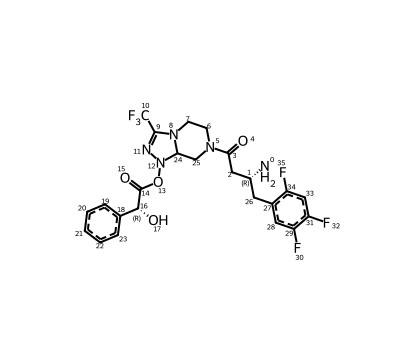 N[C@@H](CC(=O)N1CCN2C(C(F)(F)F)=NN(OC(=O)[C@H](O)c3ccccc3)C2C1)Cc1cc(F)c(F)cc1F